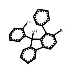 Cc1ccccc1C1(O)c2ccccc2-c2ccc(Br)c(-c3ccccc3)c21